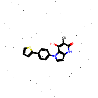 N#Cc1c(O)c2c(ccn2-c2ccc(-c3cccs3)cc2)[nH]c1=O